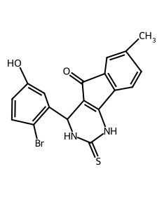 Cc1ccc2c(c1)C(=O)C1=C2NC(=S)NC1c1cc(O)ccc1Br